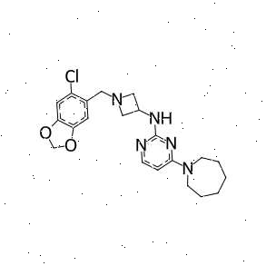 Clc1cc2c(cc1CN1CC(Nc3nccc(N4CCCCCC4)n3)C1)OCO2